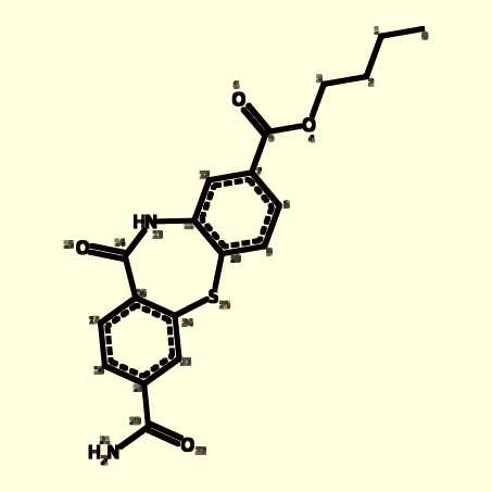 CCCCOC(=O)c1ccc2c(c1)NC(=O)c1ccc(C(N)=O)cc1S2